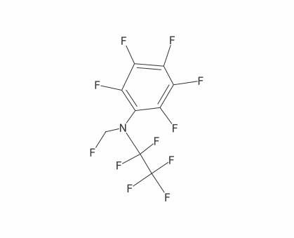 FCN(c1c(F)c(F)c(F)c(F)c1F)C(F)(F)C(F)(F)F